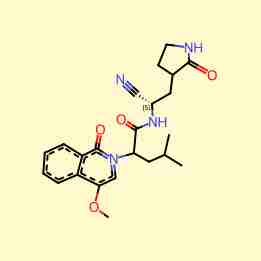 COc1cn(C(CC(C)C)C(=O)N[C@H](C#N)CC2CCNC2=O)c(=O)c2ccccc12